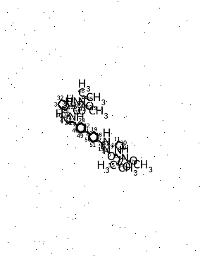 COC(=O)N[C@H](C(=O)N1CCC[C@H]1c1ncc(-c2ccc(-c3ccc(-c4cnc([C@@H]5[C@H]6CC[C@H](C6)[C@H]5C(=O)NN(C(=O)OC)C(C)C)[nH]4)cc3)cc2)[nH]1)C(C)C